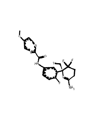 COc1cnc(C(=O)Nc2ccc(F)c([C@@]3(CF)N=C(N)CCC3(F)F)c2)nc1